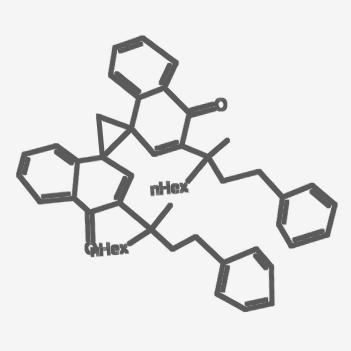 CCCCCCC(C)(CCc1ccccc1)C1=CC2(CC23C=C(C(C)(CCCCCC)CCc2ccccc2)C(=O)c2ccccc23)c2ccccc2C1=O